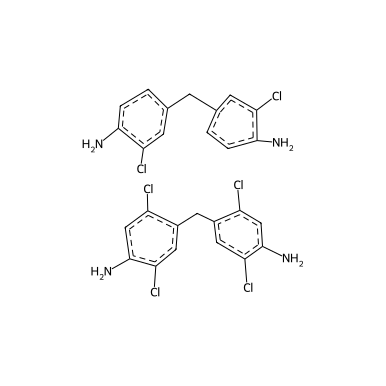 Nc1cc(Cl)c(Cc2cc(Cl)c(N)cc2Cl)cc1Cl.Nc1ccc(Cc2ccc(N)c(Cl)c2)cc1Cl